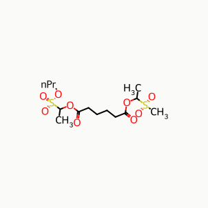 CCCOS(=O)(=O)C(C)OC(=O)CCCCC(=O)OC(C)S(C)(=O)=O